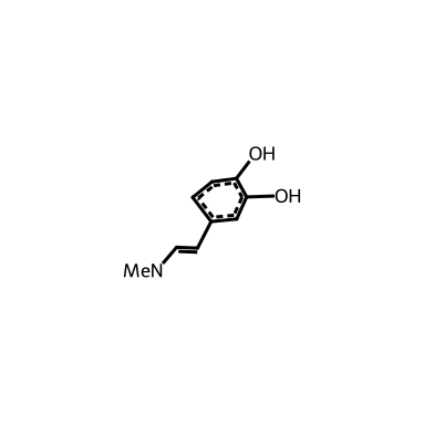 CN/C=C/c1ccc(O)c(O)c1